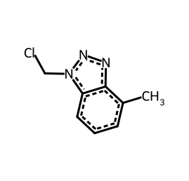 Cc1cccc2c1nnn2CCl